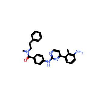 Cc1c(N)cccc1-c1ccnc(Nc2ccc(C(=O)N(C)CCc3ccccc3)cc2)n1